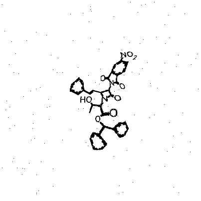 CC(O)C(C(=O)OC(c1ccccc1)c1ccccc1)N1C(=O)C(N2C(=O)c3ccc([N+](=O)[O-])cc3C2=O)C1/C=C/c1ccccc1